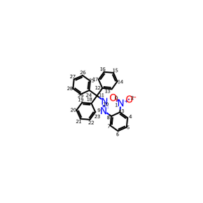 O=[N+]([O-])c1ccccc1/N=N/C(c1ccccc1)(c1ccccc1)c1ccccc1